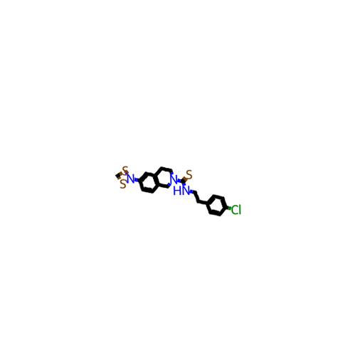 S=C(NCCc1ccc(Cl)cc1)N1CCc2cc(N3SCS3)ccc2C1